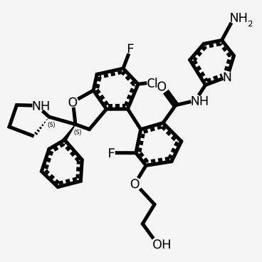 Nc1ccc(NC(=O)c2ccc(OCCO)c(F)c2-c2c(Cl)c(F)cc3c2C[C@](c2ccccc2)([C@@H]2CCCN2)O3)nc1